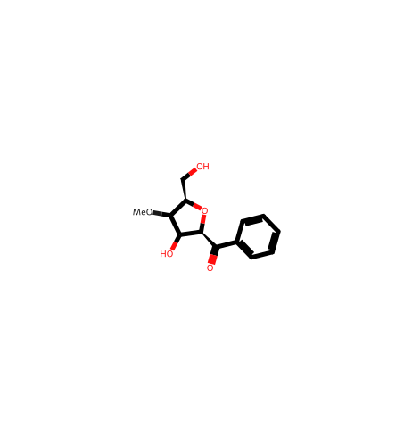 COC1C(O)[C@H](C(=O)c2ccccc2)O[C@@H]1CO